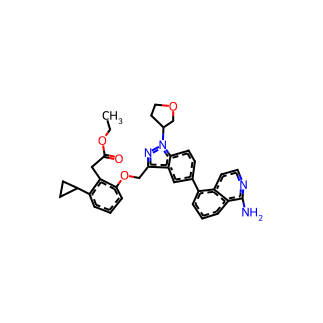 CCOC(=O)Cc1c(OCc2nn(C3CCOC3)c3ccc(-c4cccc5c(N)nccc45)cc23)cccc1C1CC1